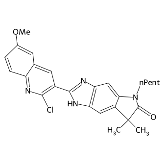 CCCCCN1C(=O)C(C)(C)c2cc3[nH]c(-c4cc5cc(OC)ccc5nc4Cl)nc3cc21